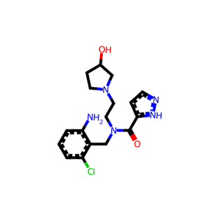 Nc1cccc(Cl)c1CN(CCN1CCC(O)C1)C(=O)c1ccn[nH]1